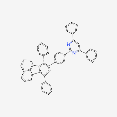 c1ccc(-c2cc(-c3ccccc3)nc(-c3ccc(-c4cc(-c5ccccc5)c5c(c4-c4ccccc4)-c4cccc6cccc-5c46)cc3)n2)cc1